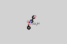 O=C(O)[C@@H]1CC(C2CCOC2)CN1C(=O)OCc1ccccc1